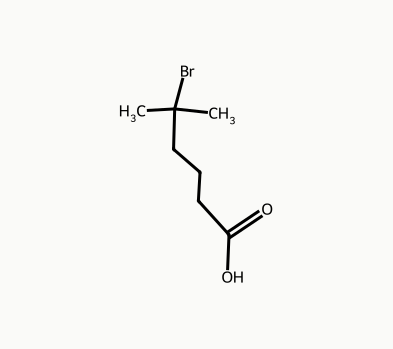 CC(C)(Br)CCCC(=O)O